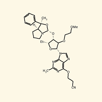 CC[C@H]1O[C@@H](n2cnc3c(OCCC#N)nc(C)nc32)C(OCCOC)[C@H]1O[P@@]1O[C@](C)(c2ccccc2)[C@@H]2CCCN21